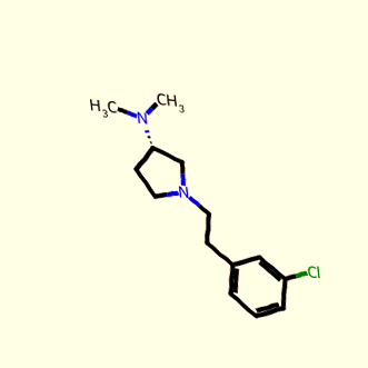 CN(C)[C@H]1CCN(CCc2cccc(Cl)c2)C1